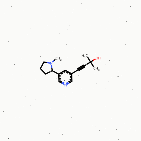 CN1CCCC1c1cncc(C#CC(C)(C)O)c1